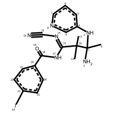 CC(N)(Nc1cccnc1)C(C)(C)C(=NC#N)NC(=O)c1ccc(I)cc1